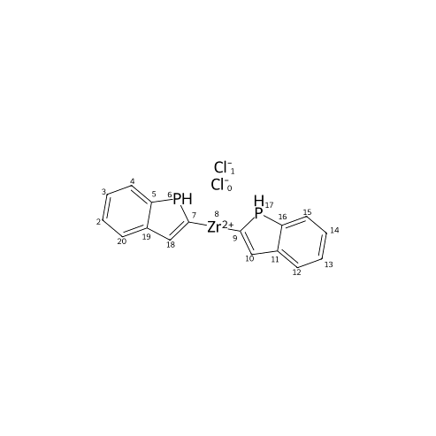 [Cl-].[Cl-].c1ccc2[pH][c]([Zr+2][c]3cc4ccccc4[pH]3)cc2c1